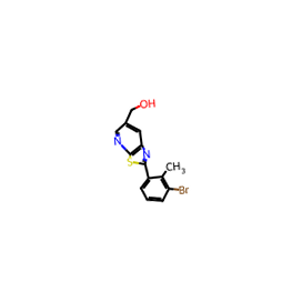 Cc1c(Br)cccc1-c1nc2cc(CO)cnc2s1